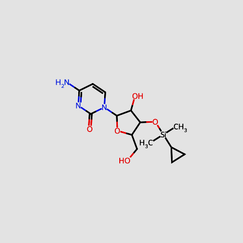 C[Si](C)(OC1C(CO)OC(n2ccc(N)nc2=O)C1O)C1CC1